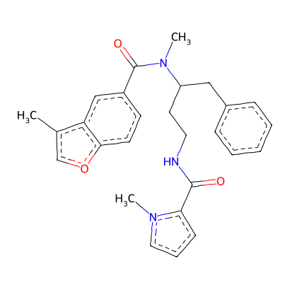 Cc1coc2ccc(C(=O)N(C)C(CCNC(=O)c3cccn3C)Cc3ccccc3)cc12